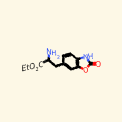 CCOC(=O)C(N)Cc1ccc2[nH]c(=O)oc2c1